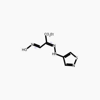 CCOC(=O)C(/C=N/O)=N/Nc1cnsc1